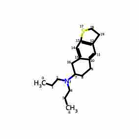 CCCN(CCC)C1CCc2cc3c(cc2C1)SCC3